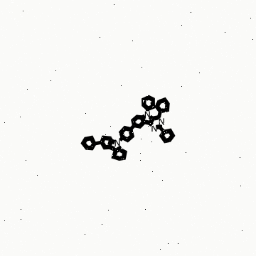 c1ccc(-c2ccc3c(c2)c2ccccc2n3-c2ccc(-c3ccc4c(c3)c3nc(-c5ccccc5)nc(-c5ccccc5)c3n4-c3ccccc3)cc2)cc1